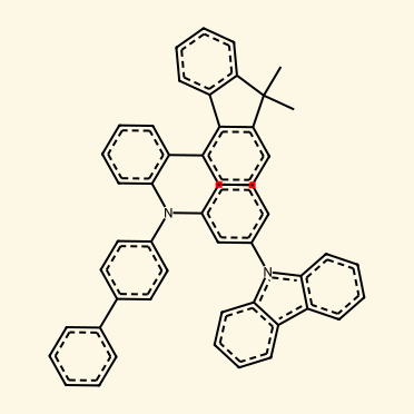 CC1(C)c2ccccc2-c2c(-c3ccccc3N(c3ccc(-c4ccccc4)cc3)c3cccc(-n4c5ccccc5c5ccccc54)c3)cccc21